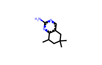 CC1CC(C)(C)Cc2cnc(N)nc21